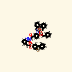 O=C(CNC(=O)c1ccccc1CCOc1ccc2c(c1)sc1ccccc12)c1ccc(OCc2ccccc2)c(N(Cc2ccccc2)S(=O)(=O)Cc2ccccc2)c1